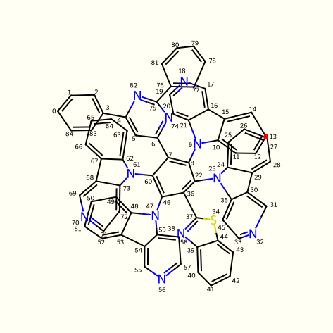 c1ccc(-c2cc(-c3c(-n4c5ccccc5c5cnccc54)c(-n4c5ccccc5c5cnccc54)c(-c4nc5ccccc5s4)c(-n4c5ccccc5c5cnccc54)c3-n3c4ccccc4c4cnccc43)nc(-c3ccccc3)n2)cc1